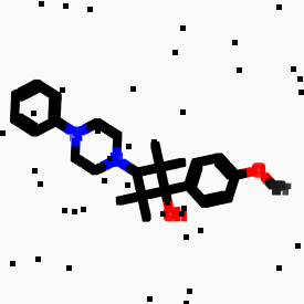 CC(C)Oc1ccc(C2(O)C(C)(C)C(N3CCN(c4ccccc4)CC3)C2(C)C)cc1